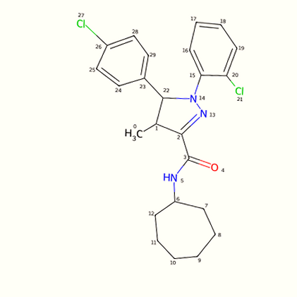 CC1C(C(=O)NC2CCCCCC2)=NN(c2ccccc2Cl)C1c1ccc(Cl)cc1